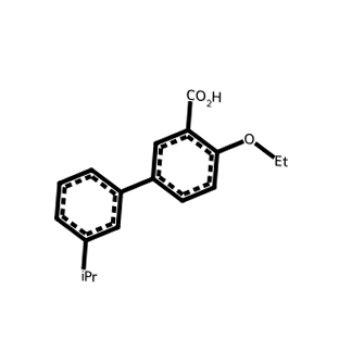 CCOc1ccc(-c2cccc(C(C)C)c2)cc1C(=O)O